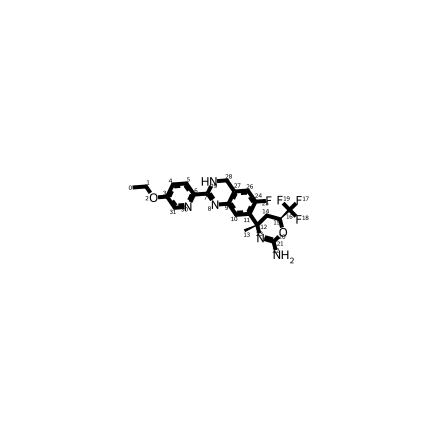 CCOc1ccc(C2=Nc3cc([C@]4(C)C[C@@H](C(F)(F)F)OC(N)=N4)c(F)cc3CN2)nc1